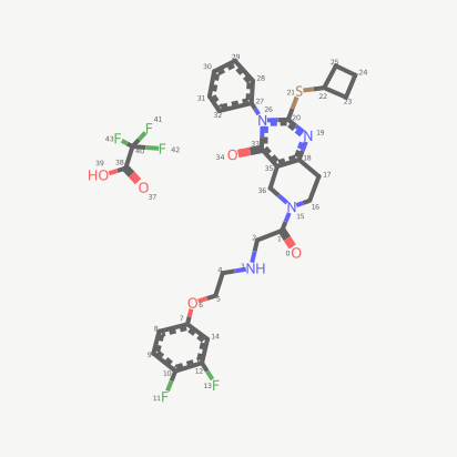 O=C(CNCCOc1ccc(F)c(F)c1)N1CCc2nc(SC3CCC3)n(-c3ccccc3)c(=O)c2C1.O=C(O)C(F)(F)F